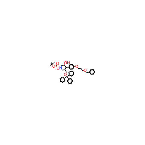 CC(C)(C)OC(=O)ON1CC(O)C(c2ccc(OCCCOCc3ccccc3)cc2)C(COC(c2ccccc2)(c2ccccc2)c2ccccc2)C1